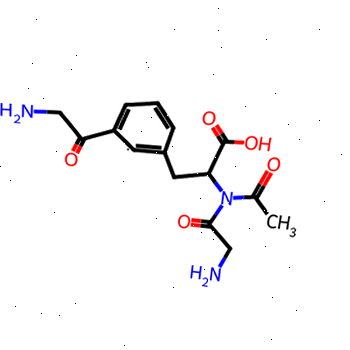 CC(=O)N(C(=O)CN)C(Cc1[c]c(C(=O)CN)ccc1)C(=O)O